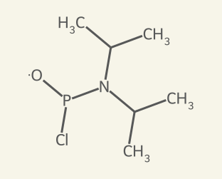 CC(C)N(C(C)C)P([O])Cl